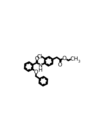 CCOC(=O)Cc1ccc(NC(=O)c2ccccc2OCc2ccccc2)c(Cl)c1